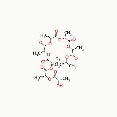 CCOC(=O)[C@H](C)OC(=O)[C@H](C)OC(=O)[C@H](C)OC(=O)[C@H](C)OC(=O)[C@H](C)OC(=O)[C@H](C)OC(=O)[C@H](C)OC(=O)[C@H](C)O